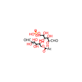 CC(=O)C(=O)OC[C@@H](O)[C@@H](O)[C@H](O)[C@@H](O)C=O.O=C[C@H](O)[C@@H](O)[C@H](O)[C@H](O)COP(=O)(O)O